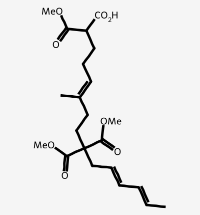 C/C=C/C=C/CC(CC/C(C)=C/CCC(C(=O)O)C(=O)OC)(C(=O)OC)C(=O)OC